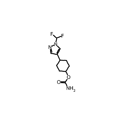 NC(=O)OC1CCC(c2cnn(C(F)F)c2)CC1